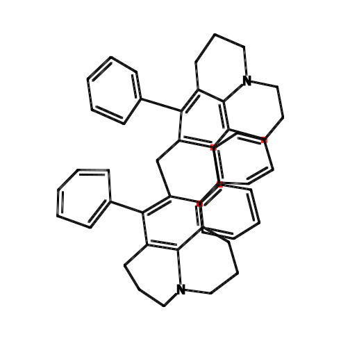 c1ccc(-c2c(Cc3c(-c4ccccc4)c4c5c(c3-c3ccccc3)CCCN5CCC4)c(-c3ccccc3)c3c4c2CCCN4CCC3)cc1